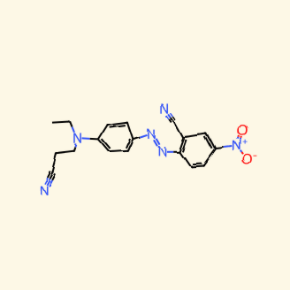 CCN(CCC#N)c1ccc(/N=N/c2ccc([N+](=O)[O-])cc2C#N)cc1